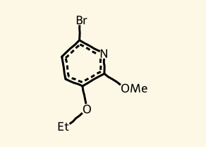 CCOc1ccc(Br)nc1OC